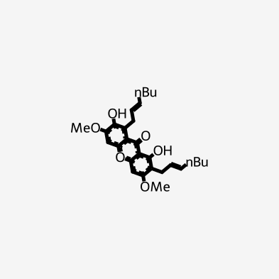 CCCCC=CCc1c(OC)cc2oc3cc(OC)c(O)c(C/C=C/CCCC)c3c(=O)c2c1O